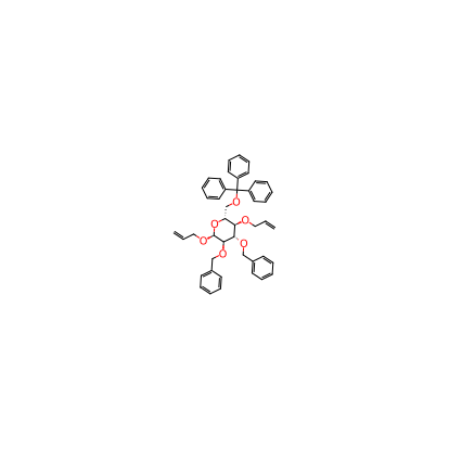 C=CCO[C@H]1O[C@H](COC(c2ccccc2)(c2ccccc2)c2ccccc2)[C@@H](OCC=C)[C@H](OCc2ccccc2)[C@H]1OCc1ccccc1